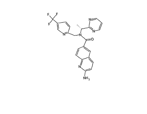 C[C@H](c1ncccn1)N(Cc1ccc(C(F)(F)F)cn1)C(=O)c1ccc2nc(N)ccc2c1